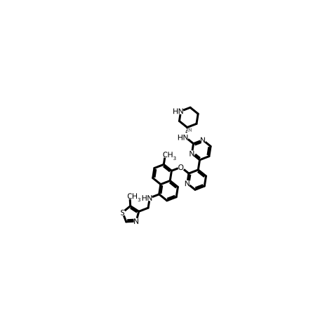 Cc1ccc2c(NCc3ncsc3C)cccc2c1Oc1ncccc1-c1ccnc(N[C@H]2CCCNC2)n1